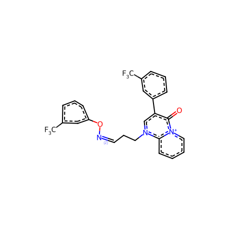 O=c1c(-c2cccc(C(F)(F)F)c2)cn(CC/C=N\Oc2cccc(C(F)(F)F)c2)c2cccc[n+]12